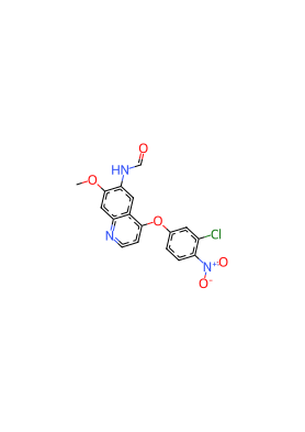 COc1cc2nccc(Oc3ccc([N+](=O)[O-])c(Cl)c3)c2cc1NC=O